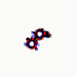 CCCC[C@@H](C)C[C@@H]1NC(=O)[C@@H](CCC#N)OC(O)[C@H](C)N(C)C(=O)[C@H](CC(F)(F)F)NC(=O)[C@H](Cc2ccccc2)N(C)C(=O)[C@H](CC(C)C)NC(=O)[C@H](CC(C)CCC(C)C[C@@H]2NC(=O)[C@@H](CCC#N)OC(=O)[C@H](C)N(C)C(=O)[C@H](CC(C)C)NC(=O)[C@H](Cc3cn(Cc4ccc(F)c(OC)c4)c4ccccc34)N(C)C(=O)[C@H](CC(C)C)NC(=O)[C@H](CC(C)C)N(C)C2=O)N(C)C1=O